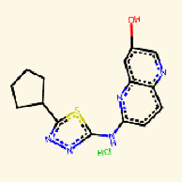 Cl.Oc1cnc2ccc(Nc3nnc(C4CCCC4)s3)nc2c1